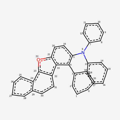 c1ccc(-c2c(N(c3ccccc3)c3ccccc3)ccc3oc4c5ccccc5ccc4c23)cc1